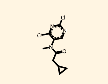 CN(C(=O)CC1CC1)c1cnc(Cl)nc1Cl